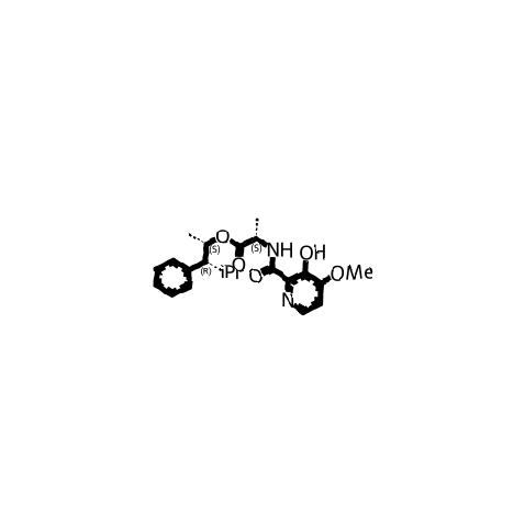 COc1ccnc(C(=O)N[C@@H](C)C(=O)O[C@@H](C)[C@@H](c2ccccc2)C(C)C)c1O